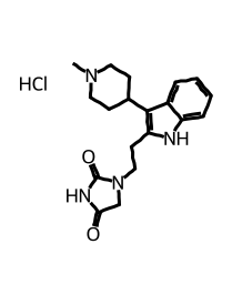 CN1CCC(c2c(CCN3CC(=O)NC3=O)[nH]c3ccccc23)CC1.Cl